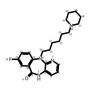 O=C1Nc2cccnc2N(CCCCCCN2CCCCC2)c2ccc(F)cc21